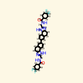 O=C(NCc1nc2c([nH]1)-c1ccc(-c3ccc4c(c3)CCc3nc(CNC(=O)C5CCC(F)(F)CC5)[nH]c3-4)cc1CC2)C1CCC(F)(F)CC1